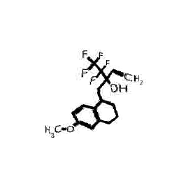 C=CC(O)(CC1CCCc2cc(OC)ccc21)C(F)(F)C(F)(F)F